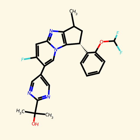 CC1C[C@H](c2ccccc2OC(F)F)c2c1nc1cc(F)c(-c3cnc(C(C)(C)O)nc3)cn21